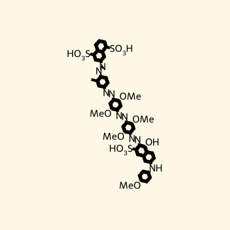 COc1ccc(Nc2ccc3c(O)c(N=Nc4cc(OC)c(N=Nc5cc(OC)c(N=Nc6ccc(N=Nc7cc(S(=O)(=O)O)c8cccc(S(=O)(=O)O)c8c7)c(C)c6)cc5OC)cc4OC)c(S(=O)(=O)O)cc3c2)cc1